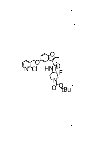 Cc1oc2ccc(OCc3cccnc3Cl)cc2c1C(=O)NC1CCN(C(=O)OC(C)(C)C)CC1(F)F